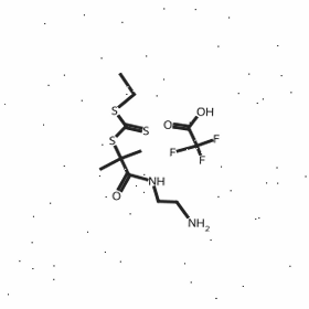 CCSC(=S)SC(C)(C)C(=O)NCCN.O=C(O)C(F)(F)F